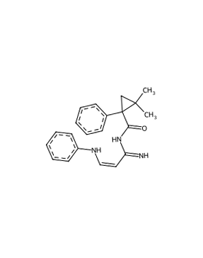 CC1(C)CC1(C(=O)NC(=N)/C=C\Nc1ccccc1)c1ccccc1